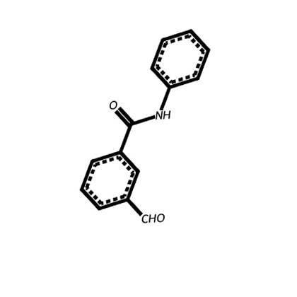 O=Cc1cccc(C(=O)Nc2ccccc2)c1